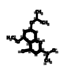 COc1cc(OC(C)C)cc2oc([S+](C)[O-])cc(=O)c12